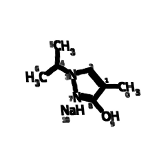 Cc1cn(C(C)C)nc1O.[NaH]